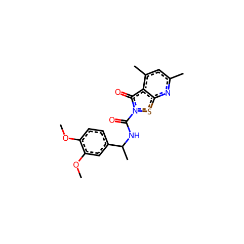 COc1ccc(C(C)NC(=O)n2sc3nc(C)cc(C)c3c2=O)cc1OC